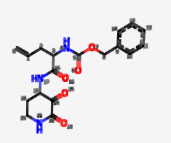 C=CCC(NC(=O)OCc1ccccc1)C(=O)NC1CCNC(=O)C1=O